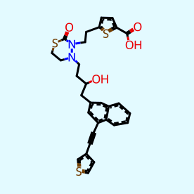 O=C(O)c1ccc(CCN2C(=O)SCCN2CCC(O)Cc2cc(C#Cc3ccsc3)c3ccccc3c2)s1